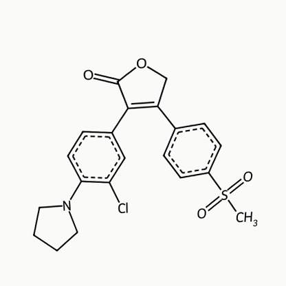 CS(=O)(=O)c1ccc(C2=C(c3ccc(N4CCCC4)c(Cl)c3)C(=O)OC2)cc1